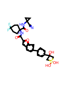 N#CC1(NC(=O)C2(NC(=O)c3cc4ccc(-c5ccc(C6(O)CS(O)(O)C6)cc5)cc4o3)CCC(F)(F)CC2)CC1